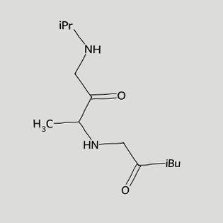 CCC(C)C(=O)CNC(C)C(=O)CNC(C)C